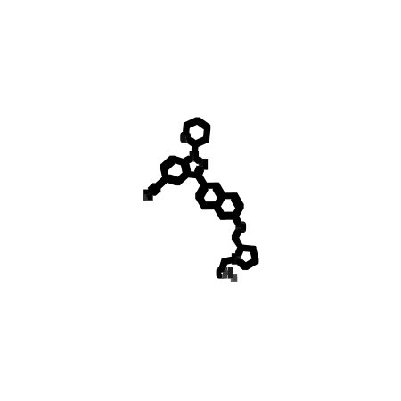 CCN1CCC[C@@H]1COc1ccc2cc(-c3nn(C4CCCCO4)c4ccc(C#N)cc34)ccc2c1